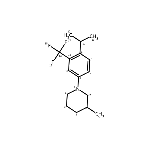 CC1CCCN(c2ccc(C(C)C)c(C(F)(F)F)c2)C1